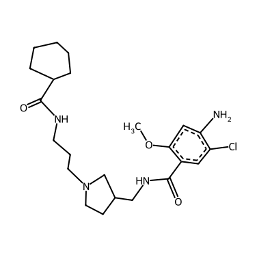 COc1cc(N)c(Cl)cc1C(=O)NCC1CCN(CCCNC(=O)C2CCCCC2)C1